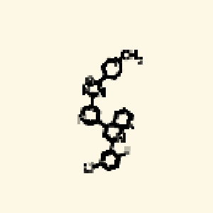 CN1CCC(c2nc(-c3cncc(-c4cc(-c5cc(Cl)ccc5F)nc5ncccc45)c3)no2)CC1